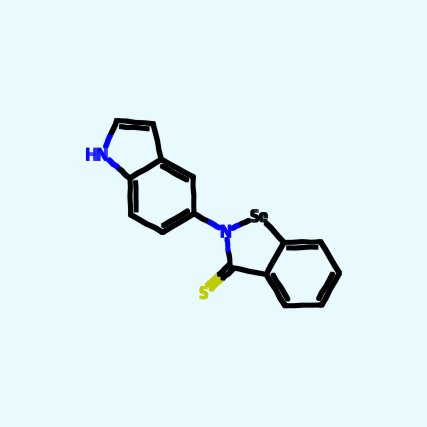 S=c1c2ccccc2[se]n1-c1ccc2[nH]ccc2c1